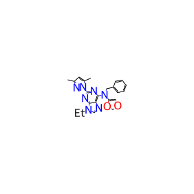 CCn1cnc2c(N(Cc3ccccc3)C3=COCO3)nc(-n3nc(C)cc3C)nc21